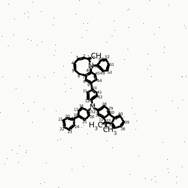 C=C1/C=C\C=C/Cc2cc(-c3ccc(N(c4ccc(-c5ccccc5)cc4)c4ccc5c(c4)C(C)(C)c4ccccc4-5)cc3)ccc2N1c1ccccc1